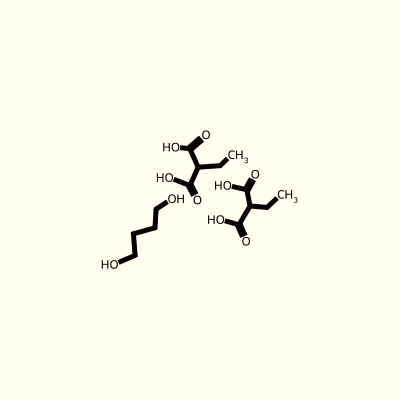 CCC(C(=O)O)C(=O)O.CCC(C(=O)O)C(=O)O.OCCCCO